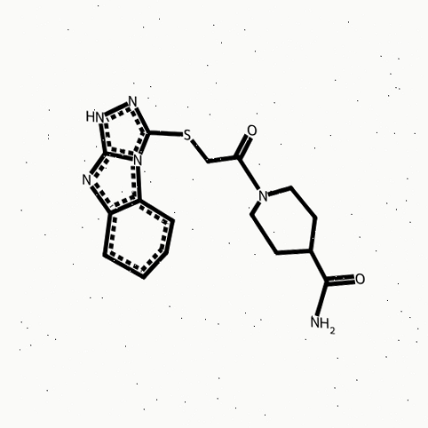 NC(=O)C1CCN(C(=O)CSc2n[nH]c3nc4ccccc4n23)CC1